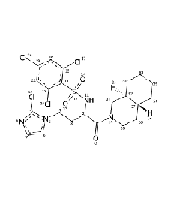 O=C(C(CCn1ccnc1Cl)NS(=O)(=O)c1c(Cl)cc(Cl)cc1Cl)N1CC[C@H]2CCCC[C@@H]2C1